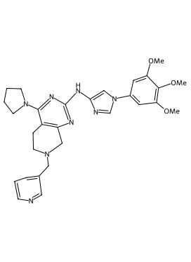 COc1cc(-n2cnc(Nc3nc4c(c(N5CCCC5)n3)CCN(Cc3cccnc3)C4)c2)cc(OC)c1OC